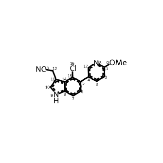 COc1ccc(-c2ccc3[nH]cc(CC#N)c3c2Cl)cn1